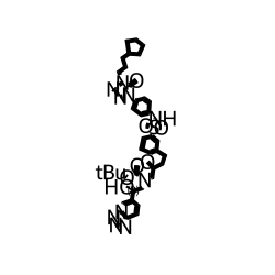 CC(C)(C)OC(=O)N(CC1CCc2cc(S(=O)(=O)Nc3ccc(-n4nnn(CCCC5CCCC5)c4=O)cc3)ccc2O1)C[C@H](O)c1ccc2nnnn2c1